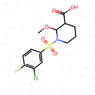 COC1C(C(=O)O)CCCN1S(=O)(=O)c1ccc(F)c(Cl)c1